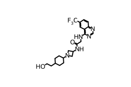 O=C(CNc1ncnc2ccc(C(F)(F)F)cc12)NC1CN(C2CCC(CCO)CC2)C1